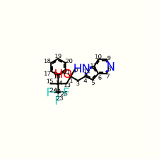 CC(O)(Cc1cc2cnccc2[nH]1)CC(C)(c1ccccc1)C(F)(F)F